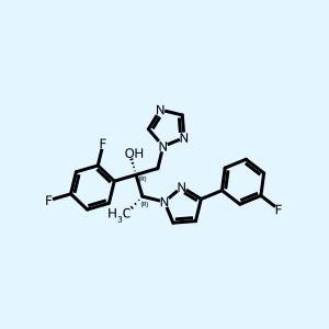 C[C@@H](n1ccc(-c2cccc(F)c2)n1)[C@](O)(Cn1cncn1)c1ccc(F)cc1F